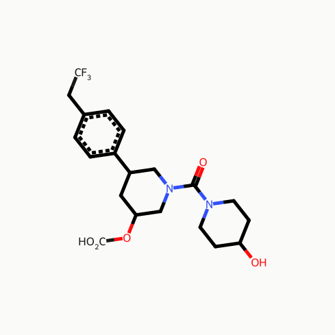 O=C(O)OC1CC(c2ccc(CC(F)(F)F)cc2)CN(C(=O)N2CCC(O)CC2)C1